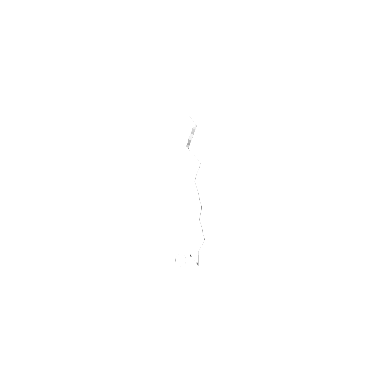 C/C=C/CCCCCN=O